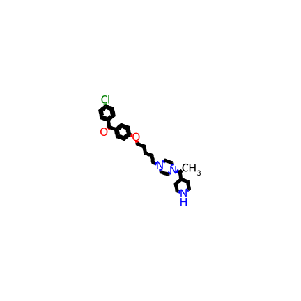 CC(C1CCNCC1)N1CCN(CCCCCOc2ccc(C(=O)c3ccc(Cl)cc3)cc2)CC1